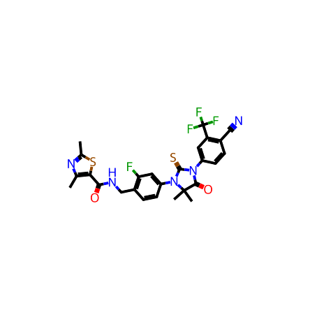 Cc1nc(C)c(C(=O)NCc2ccc(N3C(=S)N(c4ccc(C#N)c(C(F)(F)F)c4)C(=O)C3(C)C)cc2F)s1